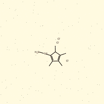 CC1=C(C)C(C)[C]([Ti+3][SiH3])=C1C.[Cl-].[Cl-].[Cl-]